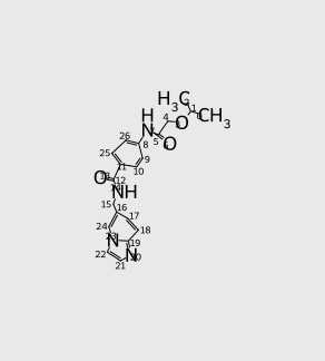 CC(C)OCC(=O)Nc1ccc(C(=O)NCc2ccc3nccn3c2)cc1